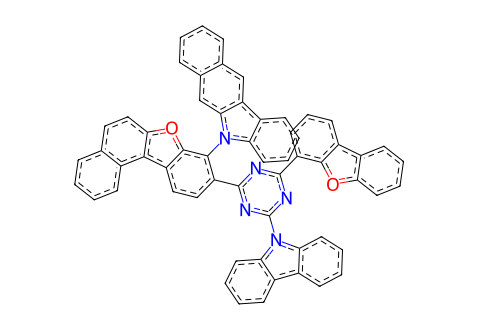 c1ccc2cc3c(cc2c1)c1ccccc1n3-c1c(-c2nc(-c3cccc4c3oc3ccccc34)nc(-n3c4ccccc4c4ccccc43)n2)ccc2c1oc1ccc3ccccc3c12